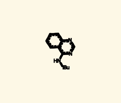 CCC(C)Nc1ncnc2ccccc12